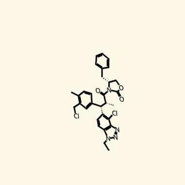 CCn1nnc2c(Cl)c([C@H](c3ccc(C)c(CCl)c3)[C@@H](C)C(=O)N3C(=O)OC[C@H]3Cc3ccccc3)ccc21